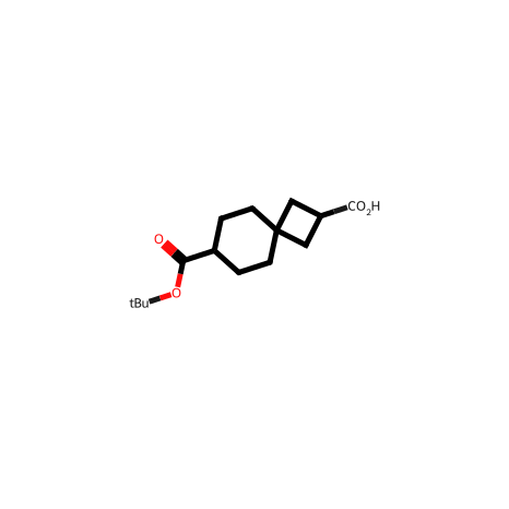 CC(C)(C)OC(=O)C1CCC2(CC1)CC(C(=O)O)C2